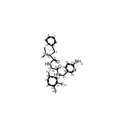 CN(C)[C@@H](Cc1ccccc1)C(=O)N[C@@H](Cc1ccc(F)c(F)c1)C(=O)NCc1ccc(N)nc1